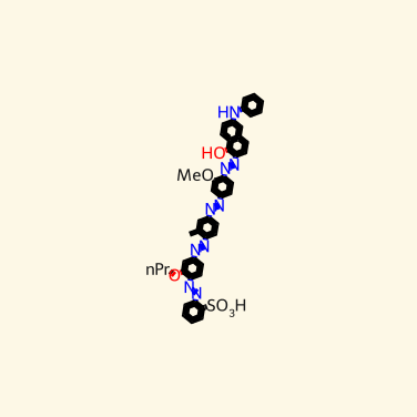 CCCOc1cc(N=Nc2ccc(N=Nc3ccc(N=Nc4ccc5cc(Nc6ccccc6)ccc5c4O)c(OC)c3)cc2C)ccc1N=Nc1ccccc1S(=O)(=O)O